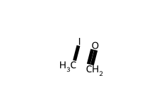 C=O.CI